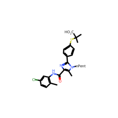 CCCCCn1c(-c2ccc(SC(C)(C)C(=O)O)cc2)nc(C(=O)Nc2cc(Cl)ccc2C)c1C